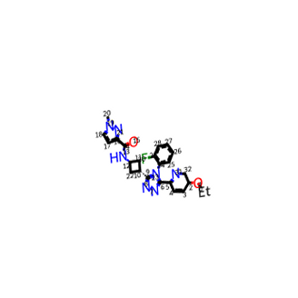 CCOC1C=CC(c2nnc([C@H]3C[C@H](NC(=O)c4ccn(C)n4)C3)n2-c2ccccc2F)=NC1